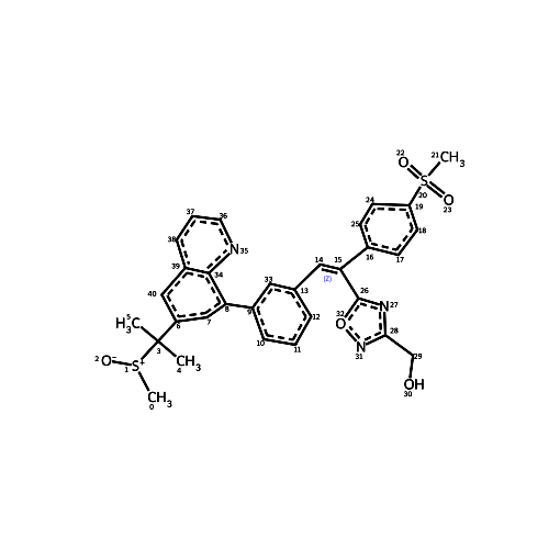 C[S+]([O-])C(C)(C)c1cc(-c2cccc(/C=C(/c3ccc(S(C)(=O)=O)cc3)c3nc(CO)no3)c2)c2ncccc2c1